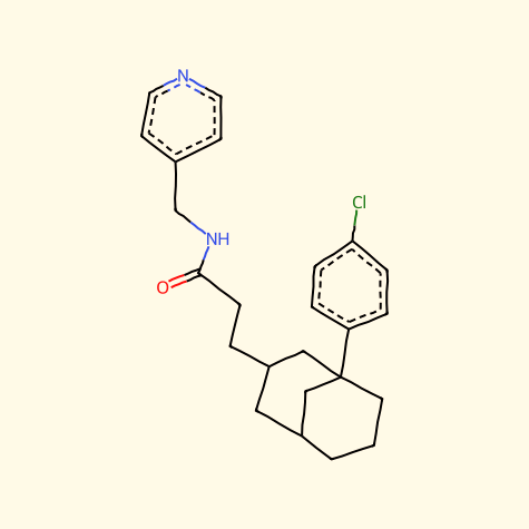 O=C(CCC1CC2CCCC(c3ccc(Cl)cc3)(C2)C1)NCc1ccncc1